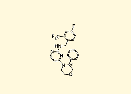 Fc1ccc(CNc2nccc(N3CCOC[C@@H]3c3ccccc3)n2)c(C(F)(F)F)c1